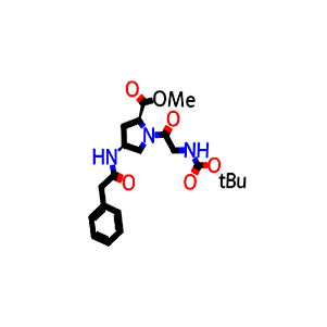 COC(=O)[C@@H]1C[C@@H](NC(=O)Cc2ccccc2)CN1C(=O)CNC(=O)OC(C)(C)C